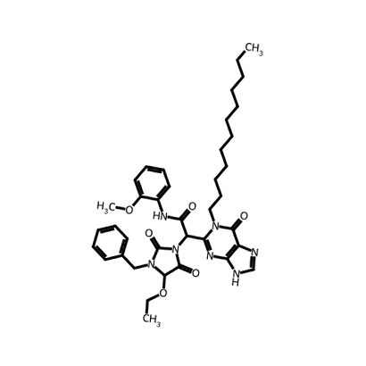 CCCCCCCCCCCCn1c(C(C(=O)Nc2ccccc2OC)N2C(=O)C(OCC)N(Cc3ccccc3)C2=O)nc2[nH]cnc2c1=O